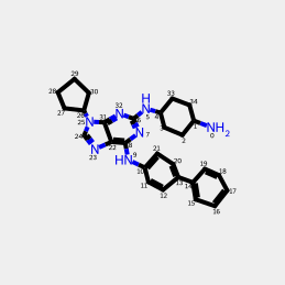 NC1CCC(Nc2nc(Nc3ccc(-c4ccccc4)cc3)c3ncn(C4CCCC4)c3n2)CC1